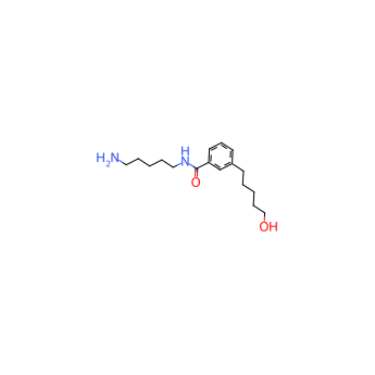 NCCCCCNC(=O)c1cccc(CCCCCO)c1